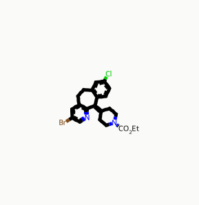 CCOC(=O)N1CCC(=C2c3ccc(Cl)cc3CCc3cc(Br)cnc32)CC1